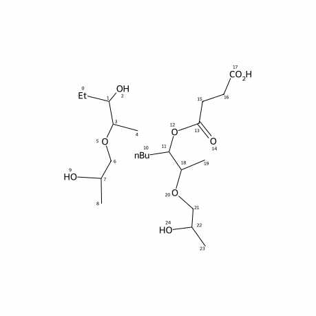 CCC(O)C(C)OCC(C)O.CCCCC(OC(=O)CCC(=O)O)C(C)OCC(C)O